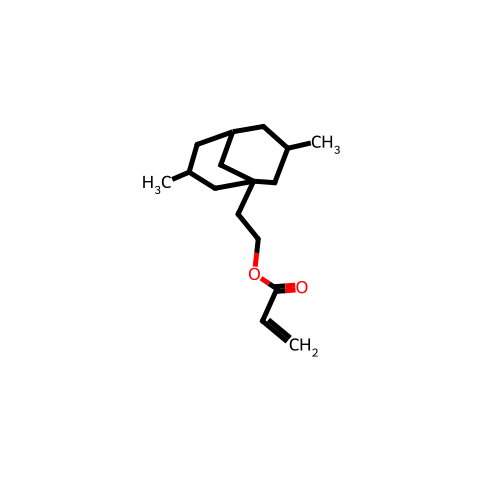 C=CC(=O)OCCC12CC(C)CC(CC(C)C1)C2